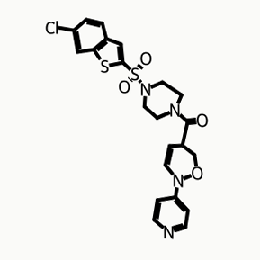 O=C(C1C=CN(c2ccncc2)OC1)N1CCN(S(=O)(=O)c2cc3ccc(Cl)cc3s2)CC1